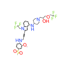 COc1cc(S(C)(=O)=O)ccc1NCC#Cc1cc2c(NC3CCN(CC(O)COCC(F)(F)F)CC3)cccc2n1CC(F)(F)F